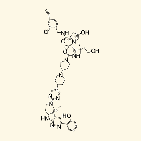 C#Cc1ccc(CNC(=O)[C@@H]2C[C@@H](O)CN2C(=O)[C@H](NC(=O)N2CCC(N3CCC(c4cnc(N5CCc6[nH]c7nnc(-c8ccccc8O)cc7c6[C@H]5C)nc4)CC3)CC2)C(C)(C)CCO)c(Cl)c1